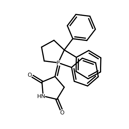 O=C1CC(=P2(c3ccccc3)CCCC2(c2ccccc2)c2ccccc2)C(=O)N1